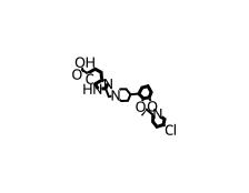 C[C@]1(c2ccc(Cl)cn2)Oc2cccc(C3CCN(Cc4nc5ccc(C(=O)O)cc5[nH]4)CC3)c2O1